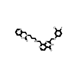 Cc1cccnc1CN(C=O)CCCNCc1nccc2c(=O)[nH]c(COc3ccc(F)c(Cl)c3)nc12